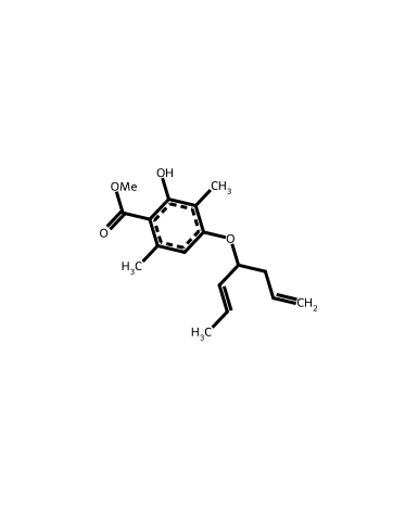 C=CCC(/C=C/C)Oc1cc(C)c(C(=O)OC)c(O)c1C